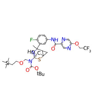 CC(C)(C)OC(=O)N(COCC[Si](C)(C)C)C1=NC(C)(c2cc(NC(=O)c3cnc(OCC(F)(F)F)cn3)ccc2F)C2CC2(C(=O)O)S1